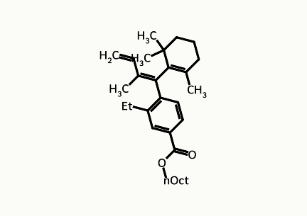 C=CC(C)=C(C1=C(C)CCCC1(C)C)c1ccc(C(=O)OCCCCCCCC)cc1CC